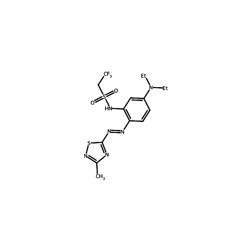 CCN(CC)c1ccc(N=Nc2nc(C)ns2)c(NS(=O)(=O)CC(F)(F)F)c1